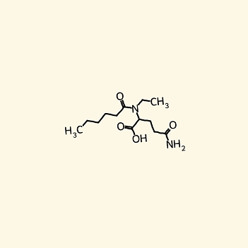 CCCCCC(=O)N(CC)C(CCC(N)=O)C(=O)O